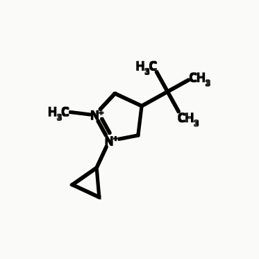 C[N+]1=[N+](C2CC2)CC(C(C)(C)C)C1